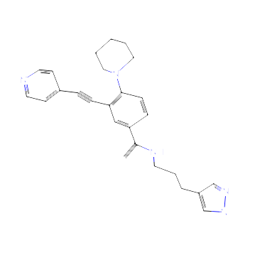 C=C(NCCCc1cn[nH]c1)c1ccc(N2CCCCC2)c(C#Cc2ccncc2)c1